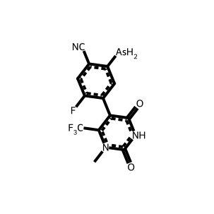 Cn1c(C(F)(F)F)c(-c2cc([AsH2])c(C#N)cc2F)c(=O)[nH]c1=O